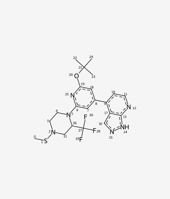 CSN1CCN(c2cc(-c3ccnc4[nH]ncc34)cc(OC(C)(C)C)n2)C(C(F)(F)F)C1